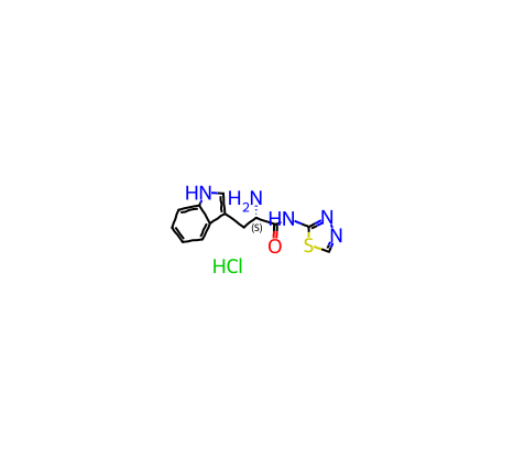 Cl.N[C@@H](Cc1c[nH]c2ccccc12)C(=O)Nc1nncs1